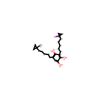 CCC1(CCCCCc2cc(O)c(O)c(CCCCCC3(I)CC3)c2O)CC1